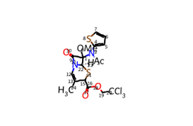 COC1(N(C(C)=O)c2cccs2)C(=O)N2C=C(C)C(C(=O)OCC(Cl)(Cl)Cl)S[C@@H]21